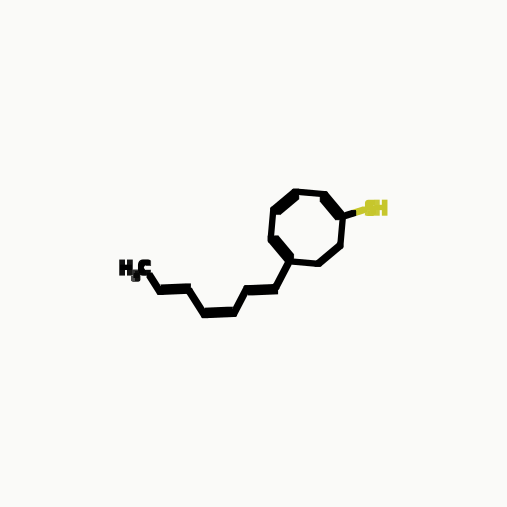 C/C=C/C=C\C=C\C1=C\C=C/C=C(/S)CC1